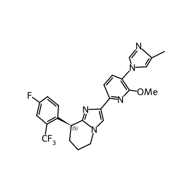 COc1nc(-c2cn3c(n2)[C@H](c2ccc(F)cc2C(F)(F)F)CCC3)ccc1-n1cnc(C)c1